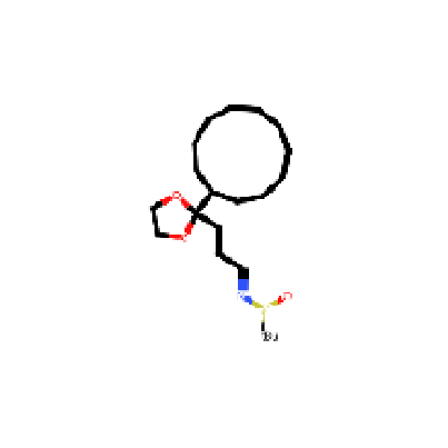 CC(C)(C)[S@+]([O-])/N=C/CCC1(C2CCCCCCCCCC2)OCCO1